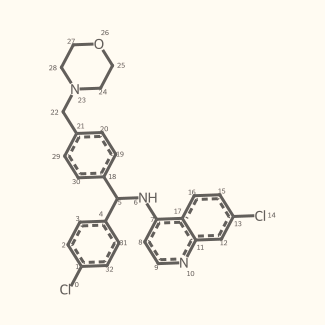 Clc1ccc(C(Nc2ccnc3cc(Cl)ccc23)c2ccc(CN3CCOCC3)cc2)cc1